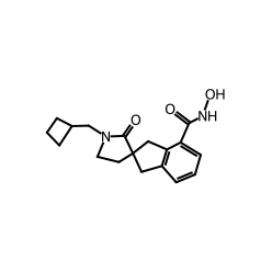 O=C(NO)c1cccc2c1CC1(CCN(CC3CCC3)C1=O)C2